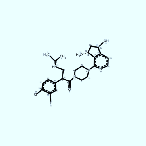 CC(C)NC[C@@H](C(=O)N1CCN(c2ncnc3c2[C@H](C)C[C@H]3O)CC1)c1ccc(Cl)c(F)c1